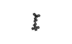 CC1(C)c2cc(-c3ccc4c(c3)C(C)(C)c3cc5c(-c6ccccc6)c6ccccc6c(-c6ccccc6)c5cc3-4)ccc2-c2ccc(-c3nc(-c4ccccc4)nc(-c4ccccc4)n3)cc21